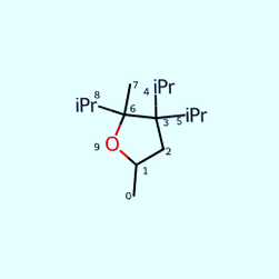 CC1CC(C(C)C)(C(C)C)C(C)(C(C)C)O1